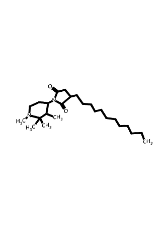 CCCCCCCCCCCCC1CC(=O)N(C2CCN(C)C(C)(C)C2C)C1=O